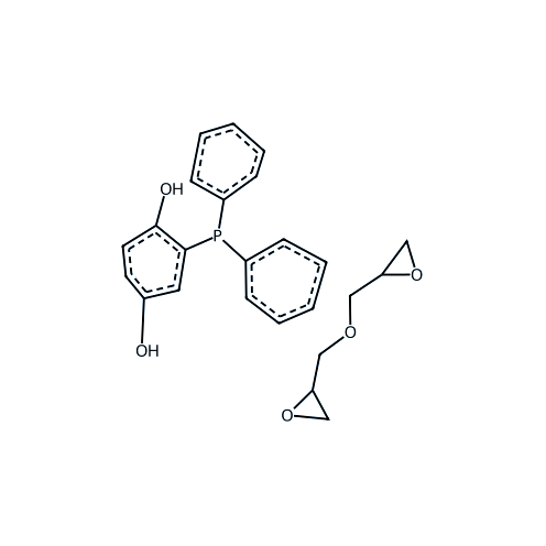 C(OCC1CO1)C1CO1.Oc1ccc(O)c(P(c2ccccc2)c2ccccc2)c1